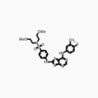 COCCN(CCOC)S(=O)(=O)c1ccc(Nc2nc3ncnc(Nc4ccc(F)c(C)c4)c3s2)cc1